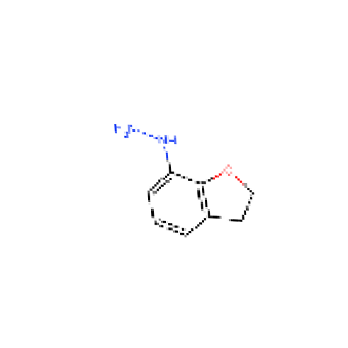 NNc1cccc2c1OCC2